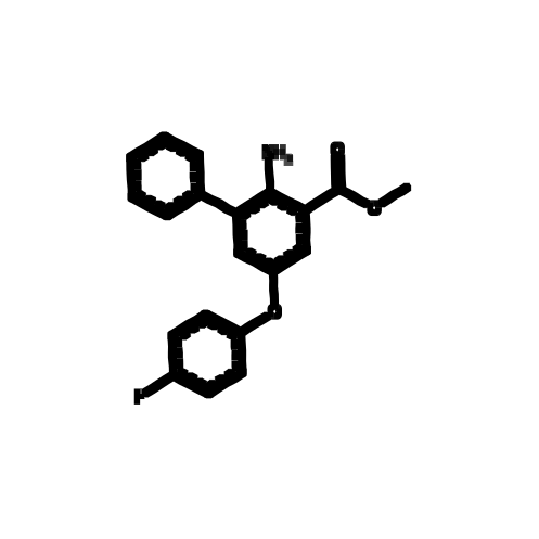 COC(=O)c1cc(Oc2ccc(F)cc2)cc(-c2ccccc2)c1N